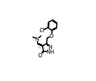 CN(C)/C=C1/C(=O)NN=C1COc1ccccc1Cl